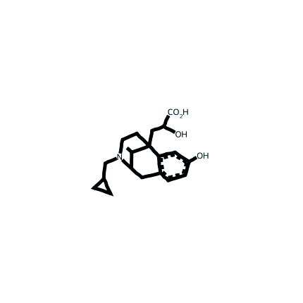 CC1C2Cc3ccc(O)cc3C1(CC(O)C(=O)O)CCN2CC1CC1